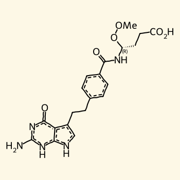 COO[C@H](CCC(=O)O)NC(=O)c1ccc(CCc2c[nH]c3[nH]c(N)nc(=O)c23)cc1